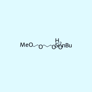 CCCCO[SiH2]OCCCOCCOC